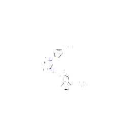 COc1ccc(F)c2c1cc(C)n2CCNc1cc(-c2ccc(S(=O)(=O)O)cc2)ncn1